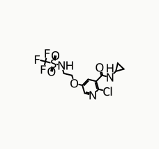 O=C(NC1CC1)c1cc(OCCNS(=O)(=O)C(F)(F)F)cnc1Cl